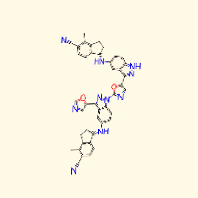 Cc1c(C#N)ccc2c1CC[C@@H]2Nc1ccc2[nH]nc(-c3cnc(-n4nc(-c5cnco5)c5cc(N[C@@H]6CCc7c6ccc(C#N)c7C)ccc54)o3)c2c1